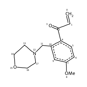 C=CC(=O)c1ccc(OC)cc1CN1CCOCC1